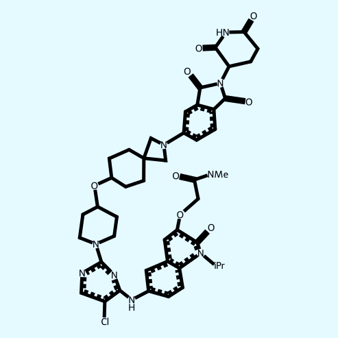 CNC(=O)COc1cc2cc(Nc3nc(N4CCC(OC5CCC6(CC5)CN(c5ccc7c(c5)C(=O)N(C5CCC(=O)NC5=O)C7=O)C6)CC4)ncc3Cl)ccc2n(C(C)C)c1=O